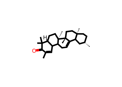 CC1=CC2C3CC=C4C5C[C@@H](C)CC[C@]5(C)CC[C@@]4(C)[C@]3(C)CC[C@H]2C(C)(C)C1=O